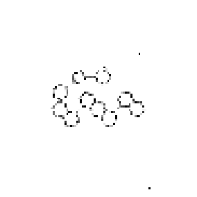 c1ccc(-c2ccc(-c3ccccc3)n2-c2cc(-c3cccc4ccccc34)c3cc4cccc(-c5cccc6ccccc56)c4cc3c2)cc1